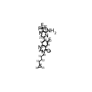 Nc1nc(-c2cc3ncn(CCCCC4CC4)c(=O)c3cc2F)cnc1C(F)(F)F